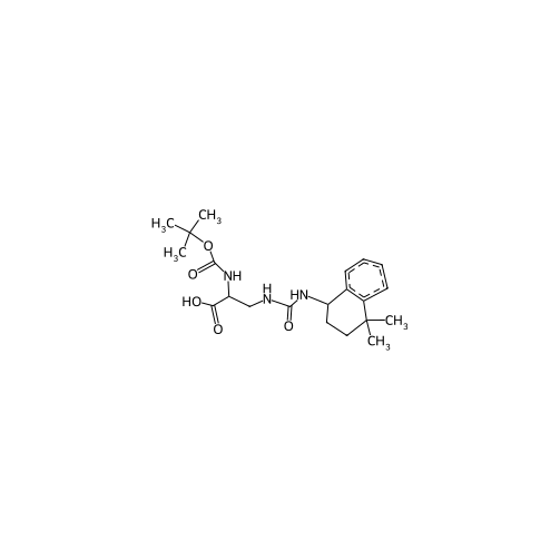 CC(C)(C)OC(=O)NC(CNC(=O)NC1CCC(C)(C)c2ccccc21)C(=O)O